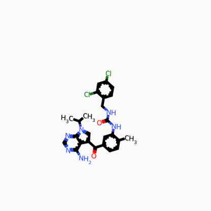 Cc1ccc(C(=O)c2cn(C(C)C)c3ncnc(N)c23)cc1NC(=O)NCc1ccc(Cl)cc1Cl